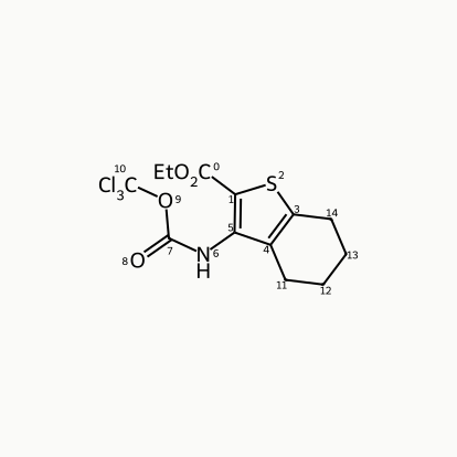 CCOC(=O)c1sc2c(c1NC(=O)OC(Cl)(Cl)Cl)CCCC2